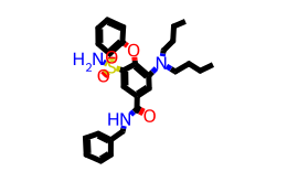 CCCCN(CCCC)c1cc(C(=O)NCc2ccccc2)cc(S(N)(=O)=O)c1Oc1ccccc1